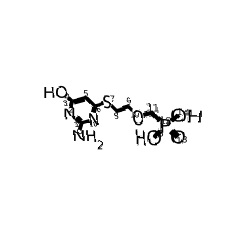 Nc1nc(O)cc(SCCOCP(=O)(O)O)n1